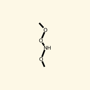 CONOOC